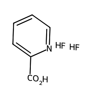 F.F.O=C(O)c1ccccn1